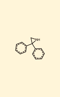 c1ccc(C2(c3ccccc3)CN2)cc1